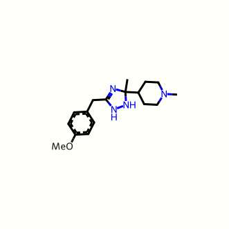 COc1ccc(CC2=NC(C)(C3CCN(C)CC3)NN2)cc1